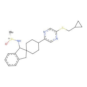 CC(C)(C)[S@@+]([O-])NC1c2ccccc2CC12CCC(c1cnc(SCC3CC3)cn1)CC2